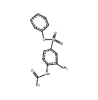 CC(C)C(=O)Nc1ccc(S(=O)(=O)Oc2ccccc2)cc1N